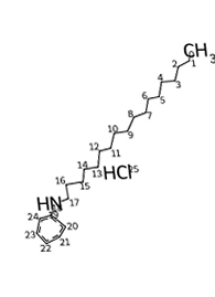 CCCCCCCCCCCCCCCCCCNc1ccccc1.Cl